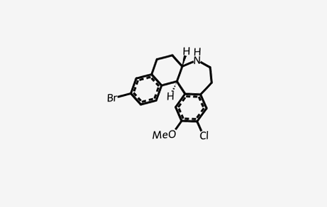 COc1cc2c(cc1Cl)CCN[C@H]1CCc3cc(Br)ccc3[C@H]21